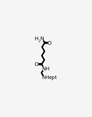 CCCCCCCCNC(=O)CCCCC(N)=O